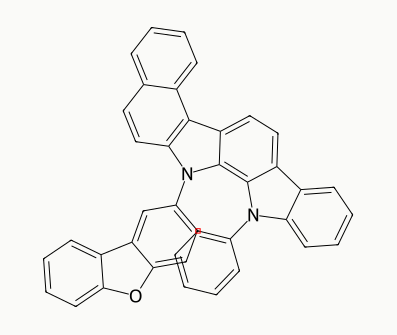 c1ccc(-n2c3ccccc3c3ccc4c5c6ccccc6ccc5n(-c5ccc6oc7ccccc7c6c5)c4c32)cc1